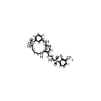 O=S1(=O)NCCCNc2nc(ncc2CCNS(=O)(=O)c2cccc(C(F)(F)F)c2F)Nc2cccc1c2